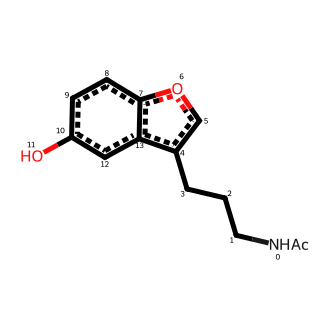 CC(=O)NCCCc1coc2ccc(O)cc12